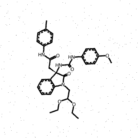 CCOC(CN1C(=O)[C@@](CC(=O)Nc2ccc(C)cc2)(NC(=O)Nc2ccc(OC)cc2)c2ccccc21)OCC